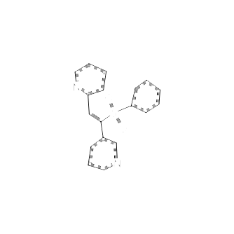 O=S(=O)(/C(=C\c1ccccn1)c1cccnc1)c1ccccc1